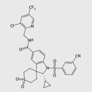 N#Cc1cccc(S(=O)(=O)N2c3ccc(C(=O)NCc4ncc(C(F)(F)F)cc4Cl)cc3C3(CCS(=O)(=O)CC3)[C@H]2C2CC2)c1